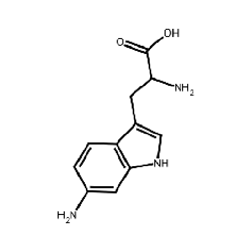 Nc1ccc2c(CC(N)C(=O)O)c[nH]c2c1